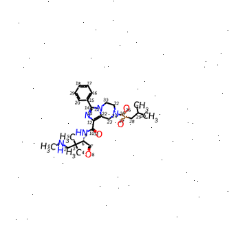 CNCC(C)(C)[C@@H](C=O)NC(=O)c1nc(-c2ccccc2)n2c1CN(S(=O)(=O)CC(C)C)CC2